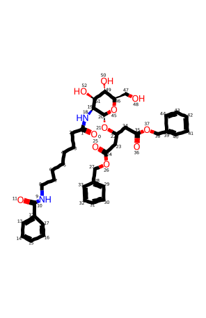 O=C(CCCCCCCNC(=O)c1ccccc1)N[C@@H]1[C@@H](OC(CC(=O)OCc2ccccc2)CC(=O)OCc2ccccc2)O[C@H](CO)[C@@H](O)[C@@H]1O